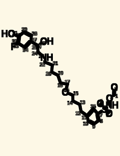 O=CONS(=O)(=O)c1cccc(CCCCOCCCCCCNC[C@@H](O)c2ccc(O)c(F)c2)c1